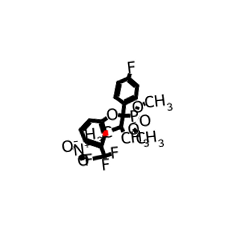 COP(=O)(OC)C(Oc1ccc([N+](=O)[O-])c(C(F)(F)F)c1)(c1ccc(F)cc1)C(C)C